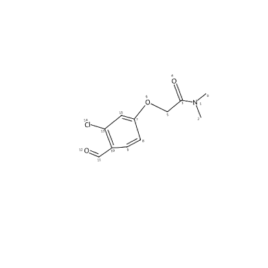 CN(C)C(=O)COc1ccc(C=O)c(Cl)c1